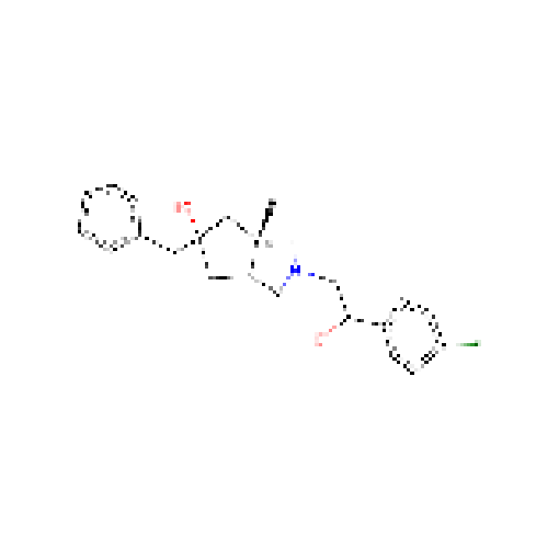 OC(CN1CC2CC(O)(Cc3ccccc3)C[C@@H]2C1)c1ccc(F)cc1